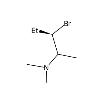 CC[C@@H](Br)C(C)N(C)C